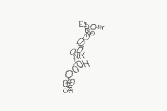 CCOc1ccc(Br)cc1S(=O)(=O)N1CCC2(CC1)C[C@@H](OC(=O)NCC(O)COc1cccc(S(=O)(=O)C3(CO)CC3)c1)CO2